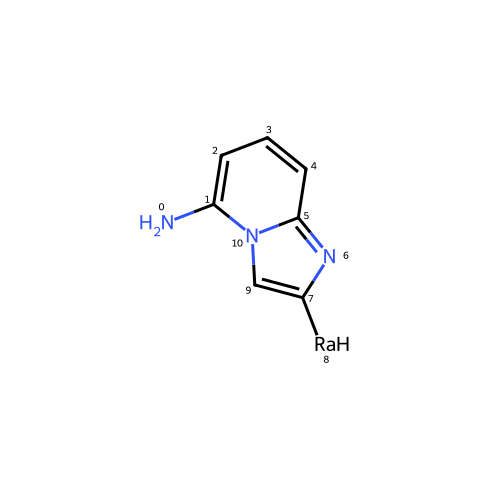 Nc1cccc2n[c]([RaH])cn12